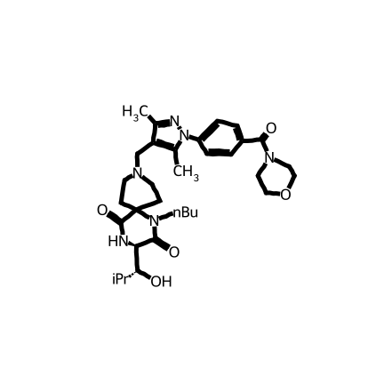 CCCCN1C(=O)[C@@H]([C@H](O)C(C)C)NC(=O)C12CCN(Cc1c(C)nn(-c3ccc(C(=O)N4CCOCC4)cc3)c1C)CC2